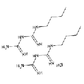 CCCCNC(=N)NC(=N)N.CCCCNC(=N)NC(=N)N.Cl